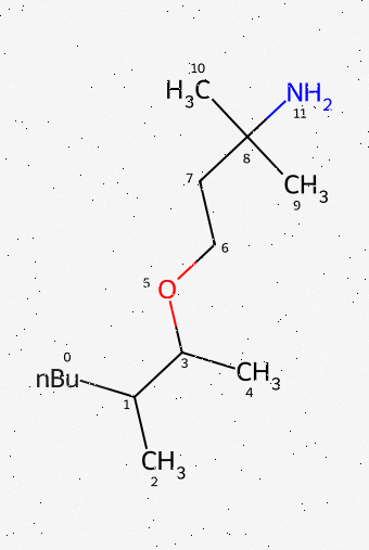 CCCCC(C)C(C)OCCC(C)(C)N